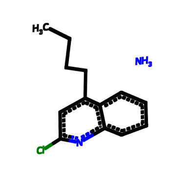 CCCCc1cc(Cl)nc2ccccc12.N